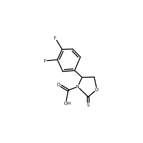 O=C(O)N1C(=S)OCC1c1ccc(F)c(F)c1